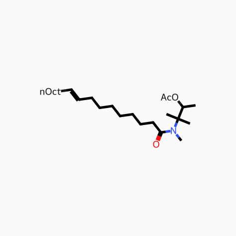 CCCCCCCCC=CCCCCCCCC(=O)N(C)C(C)(C)C(C)OC(C)=O